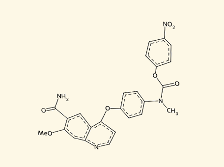 COc1cc2nccc(Oc3ccc(N(C)C(=O)Oc4ccc([N+](=O)[O-])cc4)cc3)c2cc1C(N)=O